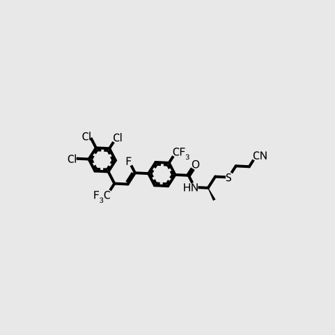 C[C@H](CSCCC#N)NC(=O)c1ccc(/C(F)=C/C(c2cc(Cl)c(Cl)c(Cl)c2)C(F)(F)F)cc1C(F)(F)F